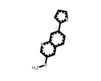 COc1cnc2cc(-c3cccs3)ccc2c1